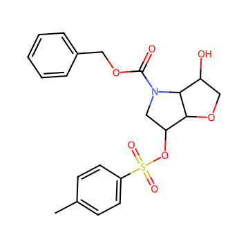 Cc1ccc(S(=O)(=O)OC2CN(C(=O)OCc3ccccc3)C3C(O)COC23)cc1